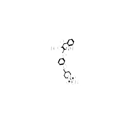 Cc1c(COc2cccc(OCC3CCN(S(C)(=O)=O)CC3)c2)[nH]c2ccccc2c1=O